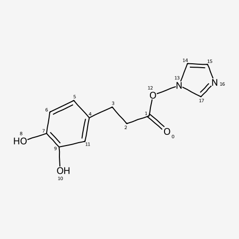 O=C(CCc1ccc(O)c(O)c1)On1ccnc1